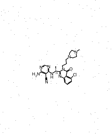 C[C@H](Nc1ncnc(N)c1C#N)c1nc2cccc(Cl)c2c(=O)n1CCCN1CCN(C)CC1